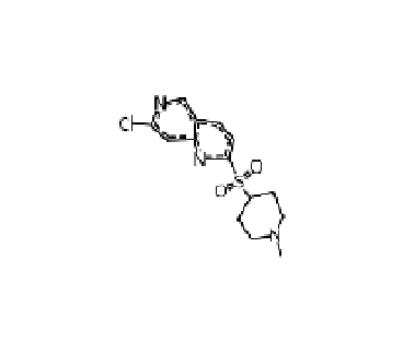 CN1CCC(S(=O)(=O)c2ccc3cnc(Cl)cc3n2)CC1